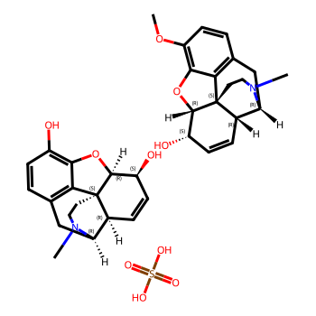 CN1CC[C@]23c4c5ccc(O)c4O[C@H]2[C@@H](O)C=C[C@H]3[C@H]1C5.COc1ccc2c3c1O[C@H]1[C@@H](O)C=C[C@H]4[C@@H](C2)N(C)CC[C@@]341.O=S(=O)(O)O